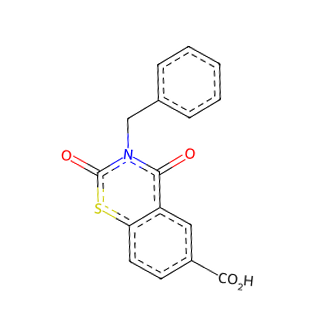 O=C(O)c1ccc2sc(=O)n(Cc3ccccc3)c(=O)c2c1